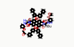 CCCCC(C(=O)NC1CCCC(OCC2CO2)C1)N1C(=O)c2cc(Oc3ccc(-c4ccccc4)cc3)c3c4c(Oc5ccc(-c6ccccc6)cc5)cc5c6c(cc(Oc7ccc(-c8ccccc8)cc7)c(c7c(Oc8ccc(-c9ccccc9)cc8)cc(c2c37)C1=O)c64)C(=O)N(C(CCCC)C(=O)NC1CCCC(OC2CCO2)C1)C5=O